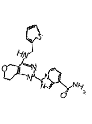 NC(=O)c1cccn2c(-c3nc4c(c(NCc5cccs5)n3)COCC4)ncc12